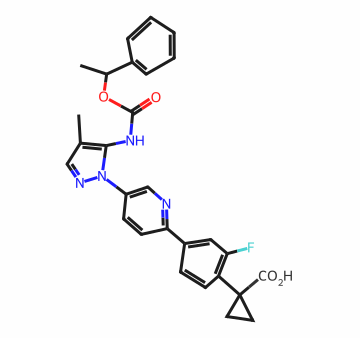 Cc1cnn(-c2ccc(-c3ccc(C4(C(=O)O)CC4)c(F)c3)nc2)c1NC(=O)OC(C)c1ccccc1